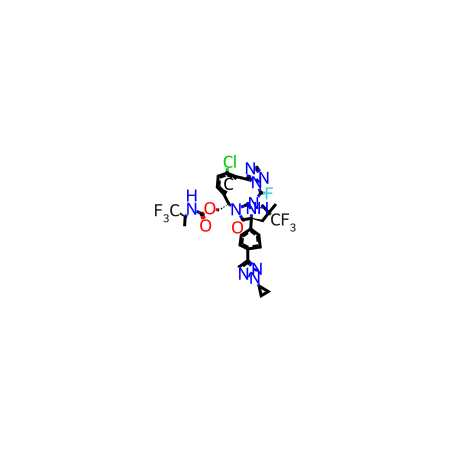 C[C@H](NC(=O)OC[C@@H]1c2ccc(Cl)c(c2)-c2ncnn2C(F)/N=C2\N[C@](CC(C)(C)C(F)(F)F)(c3ccc(-c4cnn(C5CC5)n4)cc3)C(=O)N21)C(F)(F)F